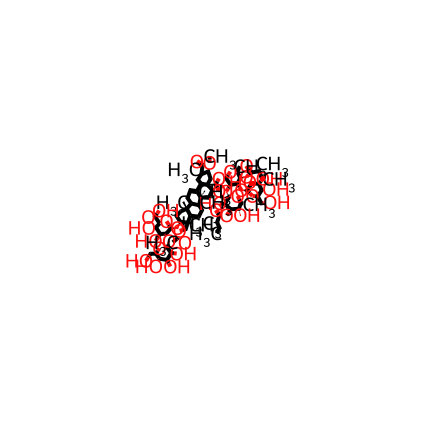 CC[C@H](C)C(=O)OC1C(O)[C@H](OC2C(O[C@@H]3OC(CO)[C@@H](O)C(O)C3O)[C@H](OC(=O)[C@@H](C)CC)C(C)O[C@H]2OC(=O)[C@]23CC[C@](C)(C(=O)OC)CC2C2=CCC4[C@@]5(C)CC[C@H](O[C@@H]6OC(C(=O)O)[C@@H](O)C(O)[C@@H]6O[C@@H]6OC(CO)[C@H](O)C(O)C6O)[C@@](C)(COC(C)=O)C5CC[C@@]4(C)[C@]2(C)CC3)OC(C)[C@@H]1O